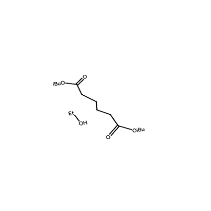 CC(C)COC(=O)CCCCC(=O)OCC(C)C.CCO